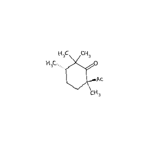 CC(=O)[C@@]1(C)CC[C@H](C)C(C)(C)C1=O